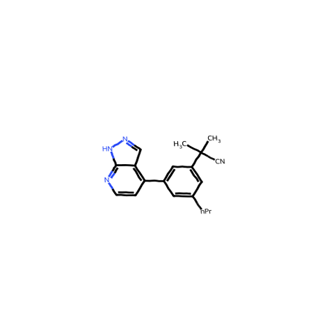 CCCc1cc(-c2ccnc3[nH]ncc23)cc(C(C)(C)C#N)c1